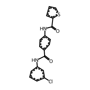 O=C(Nc1cccc(Cl)c1)c1ccc(NC(=O)c2cccs2)cc1